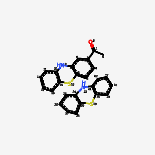 CC(=O)c1ccc2c(c1)Nc1ccccc1S2.c1ccc2c(c1)Nc1ccccc1S2